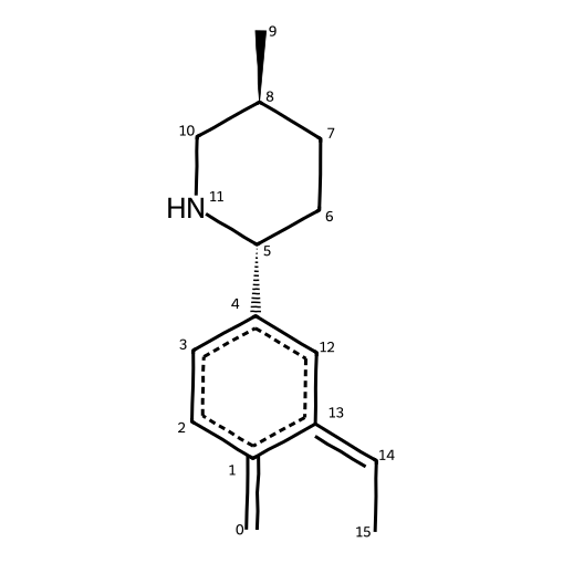 C=c1ccc([C@H]2CC[C@H](C)CN2)c/c1=C/C